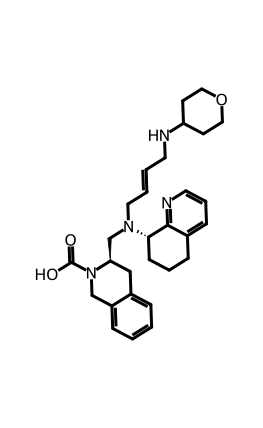 O=C(O)N1Cc2ccccc2C[C@@H]1CN(C/C=C/CNC1CCOCC1)[C@H]1CCCc2cccnc21